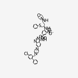 O=[N+]([O-])c1cc(S(=O)(=O)Nc2ncnc3cc(N4CCN(Cc5cc(Cl)ccc5-c5ccccc5)CC4)ccc23)ccc1NC(CCNN1CCOCC1)CSc1ccccc1